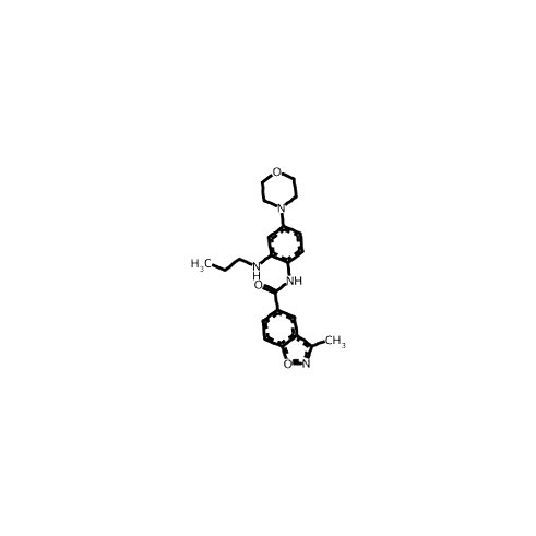 CCCNc1cc(N2CCOCC2)ccc1NC(=O)c1ccc2onc(C)c2c1